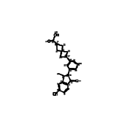 CC1c2cc(Cl)ccc2C(=O)N1c1cncc(N2CC3(CN(C(=O)O)C3)C2)c1